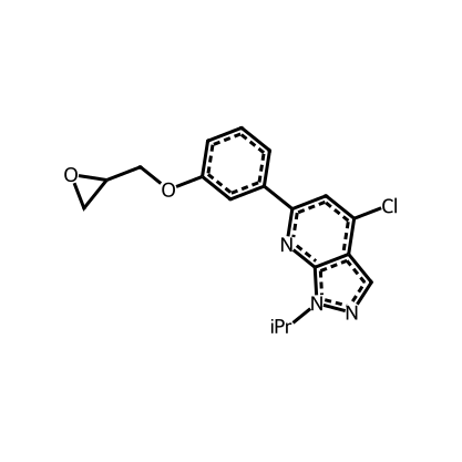 CC(C)n1ncc2c(Cl)cc(-c3cccc(OCC4CO4)c3)nc21